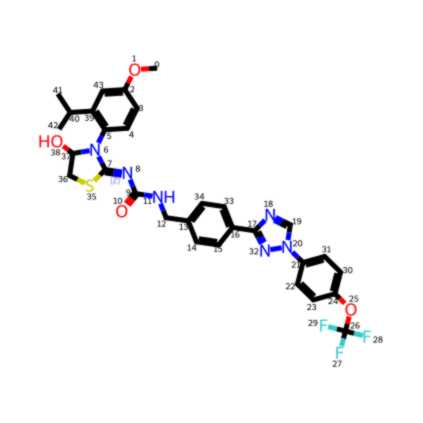 COc1ccc(N2/C(=N/C(=O)NCc3ccc(-c4ncn(-c5ccc(OC(F)(F)F)cc5)n4)cc3)SCC2O)c(C(C)C)c1